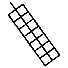 CC12C3C1C1C4C5C6C7C8CC9CC%10C%11C%12C%13C%14C3C12C%144C%135C%126C%117C9%108